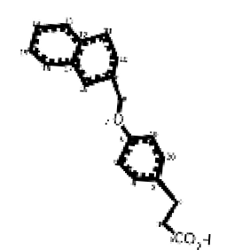 O=C(O)CCc1ccc(OCc2ccc3ccccc3c2)cc1